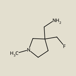 CN1CCC(CN)(CF)C1